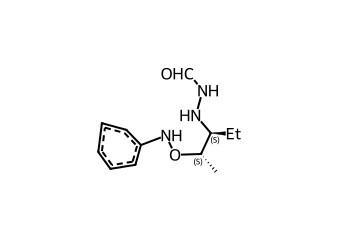 CC[C@H](NNC=O)[C@H](C)ONc1ccccc1